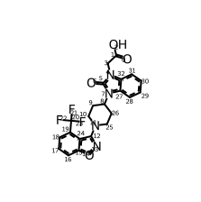 O=C(O)Cn1c(=O)n(C2CCN(c3noc4cccc(C(F)(F)F)c34)CC2)c2ccccc21